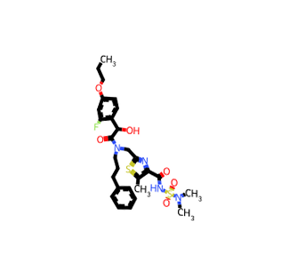 CCCOc1ccc(C(O)C(=O)N(CCCc2ccccc2)Cc2nc(C(=O)NS(=O)(=O)N(C)C)c(C)s2)c(F)c1